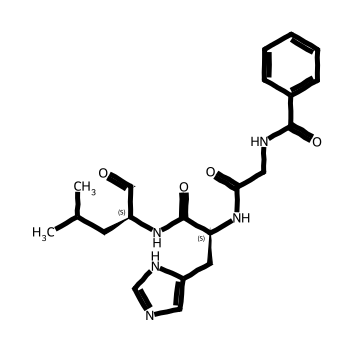 CC(C)C[C@@H]([C]=O)NC(=O)[C@H](Cc1cnc[nH]1)NC(=O)CNC(=O)c1ccccc1